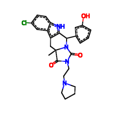 CC12Cc3c([nH]c4ccc(Cl)cc34)C(c3cccc(O)c3)N1C(=O)N(CCN1CCCC1)C2=O